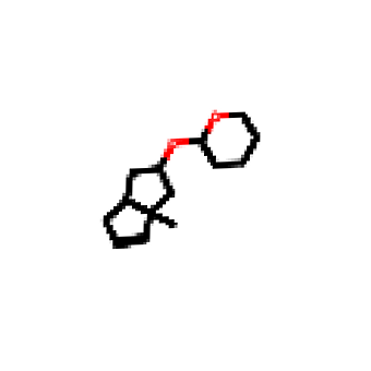 CC12C=CCC1CC(OC1CCCCO1)C2